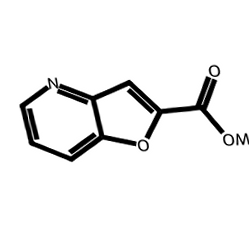 COC(=O)c1cc2ncccc2o1